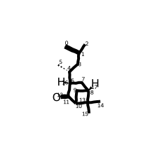 C=C(C)C[C@@H](C)[C@H]1C[C@H]2CC(C1=O)C2(C)C